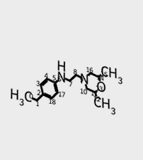 CCc1ccc(NCCN2CC(C)OC(C)C2)cc1